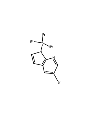 CC(C)S(C(C)C)(C(C)C)n1ccc2cc(Br)cnc21